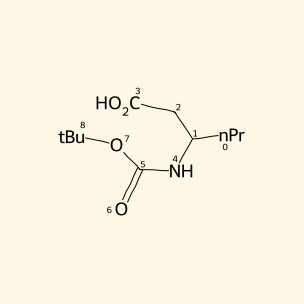 CCCC(CC(=O)O)NC(=O)OC(C)(C)C